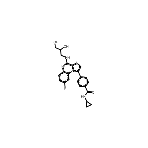 O=C(NC1CC1)c1ccc(-c2cnc3c(NCC(O)CO)nc4ccc(F)cc4n23)cc1